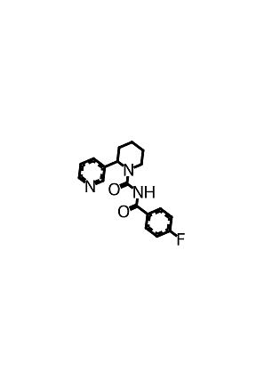 O=C(NC(=O)N1CCCCC1c1cccnc1)c1ccc(F)cc1